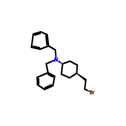 BrCC[C@H]1CC[C@H](N(Cc2ccccc2)Cc2ccccc2)CC1